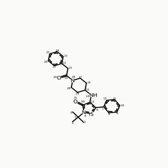 CC(C)(C)n1sc(-c2ccccc2)c(NC2CCN(C(=O)Cc3ccccc3)CC2)c1=O